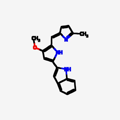 COc1cc(-c2cc3ccccc3[nH]2)[nH]c1/C=C1/C=CC(C)=N1